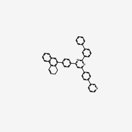 C1=Cc2c(c(-c3ccc(-c4cc(-c5ccc(-c6cccnc6)cc5)nc(-c5cccc(-c6ccccc6)c5)n4)cc3)cc3ccccc23)CC1